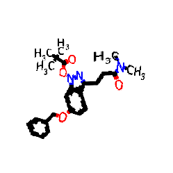 CN(C)C(=O)CCc1nn(OC(=O)C(C)(C)C)c2cc(OCc3ccccc3)ccc12